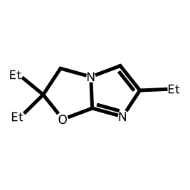 CCc1cn2c(n1)OC(CC)(CC)C2